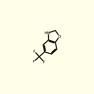 FC(F)(F)c1ccc2c(c1)NCO2